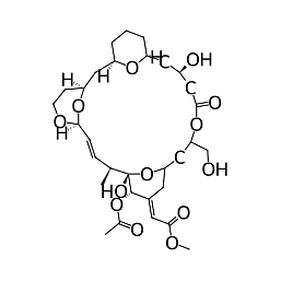 COC(=O)/C=C1\CC2CC(CO)OC(=O)C[C@H](O)C[C@@H]3CCC[C@H](C[C@@H]4CCO[C@H](/C=C/[C@H](C)[C@](O)(O2)[C@H]1OC(C)=O)O4)O3